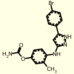 Cc1cc(OC(N)=O)ccc1Nc1cc(-c2ccc(Br)cc2)[nH]n1